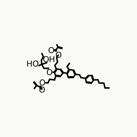 C=C(C)C(=O)OCCCc1cc(-c2ccc(CCc3ccc(CCCCC)cc3)cc2CC)cc(CCCOC(=O)C(=C)C)c1OCCC(CO)(CO)CCC